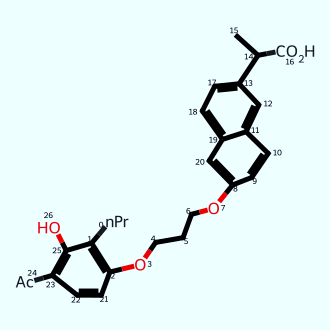 CCCc1c(OCCCOc2ccc3cc(C(C)C(=O)O)ccc3c2)ccc(C(C)=O)c1O